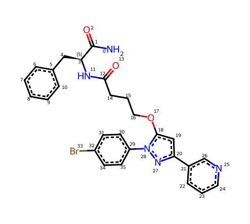 NC(=O)[C@H](Cc1ccccc1)NC(=O)CCCOc1cc(-c2cccnc2)nn1-c1ccc(Br)cc1